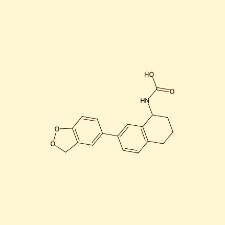 O=C(O)NC1CCCc2ccc(-c3ccc4c(c3)COO4)cc21